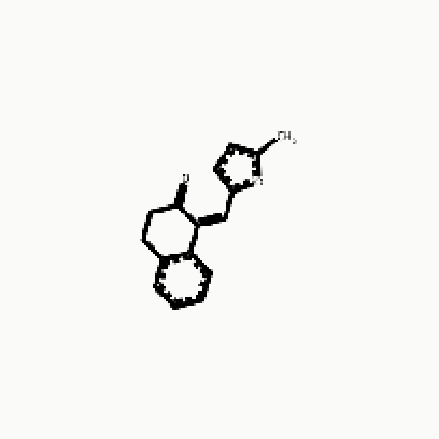 Cc1ccc(C=C2C(=O)CCc3ccccc32)o1